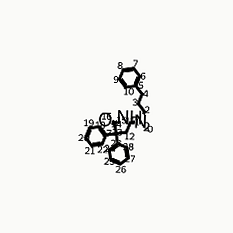 CN(CCCc1ccccc1)CCC(C(N)=O)(c1ccccc1)c1ccccc1